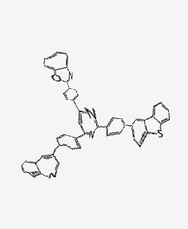 C1=CC(c2nc3ccccc3o2)CC=C1c1cc(-c2ccc(-c3cnc4ccccc4c3)cc2)nc(-c2ccc(-c3ccc4sc5ccccc5c4c3)cc2)n1